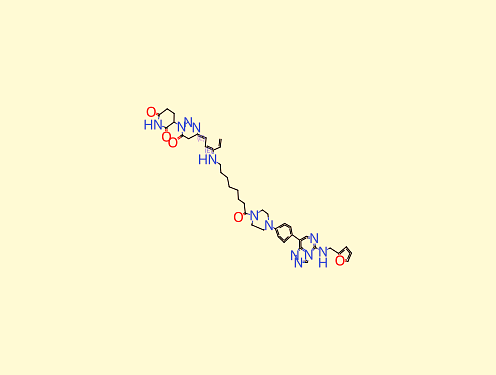 C=C/C(=C\C=C1/CC(=O)N(C2CCC(=O)NC2=O)N=N1)NCCCCCCCC(=O)N1CCN(c2ccc(-c3cnc(NCc4ccco4)n4cnnc34)cc2)CC1